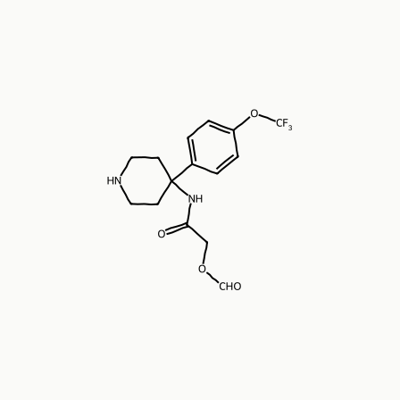 O=COCC(=O)NC1(c2ccc(OC(F)(F)F)cc2)CCNCC1